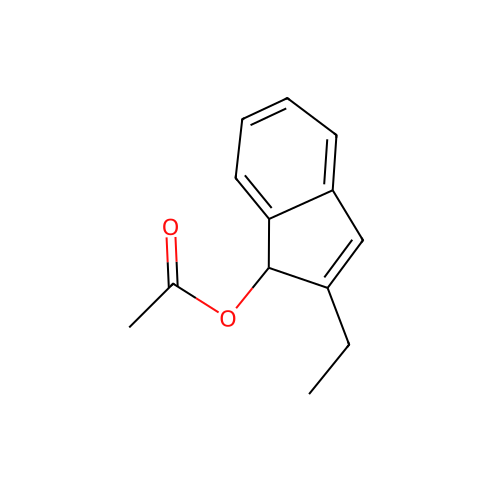 CCC1=Cc2ccccc2C1OC(C)=O